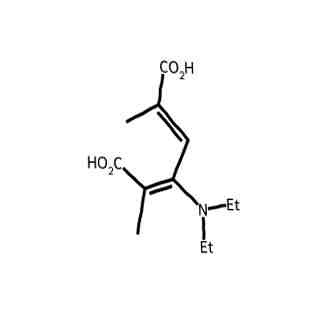 CCN(CC)C(C=C(C)C(=O)O)=C(C)C(=O)O